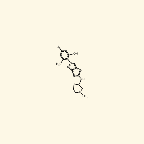 Cc1cc(Cl)cc(O)c1-n1cc2sc(N[C@@H]3CCCN(C)C3)nc2n1